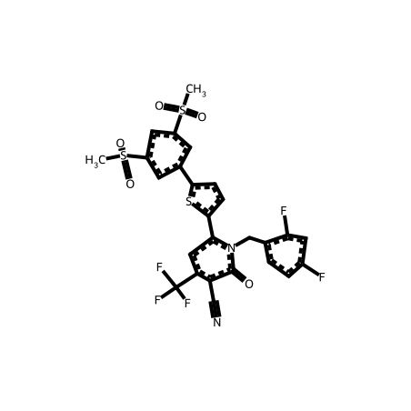 CS(=O)(=O)c1cc(-c2ccc(-c3cc(C(F)(F)F)c(C#N)c(=O)n3Cc3ccc(F)cc3F)s2)cc(S(C)(=O)=O)c1